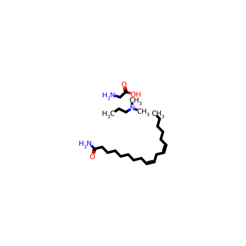 CCCCC/C=C\C/C=C\CCCCCCCC(N)=O.CCCN(C)C.NCC(=O)O